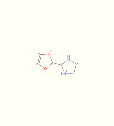 C1=COC([C]2NCCN2)O1